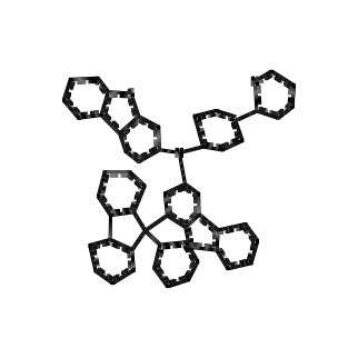 c1ccc(C2(c3cc(N(c4ccc(-c5ccccn5)cc4)c4ccc5c(c4)sc4ccccc45)cc4c3oc3ccccc34)c3ccccc3-c3ccccc32)cc1